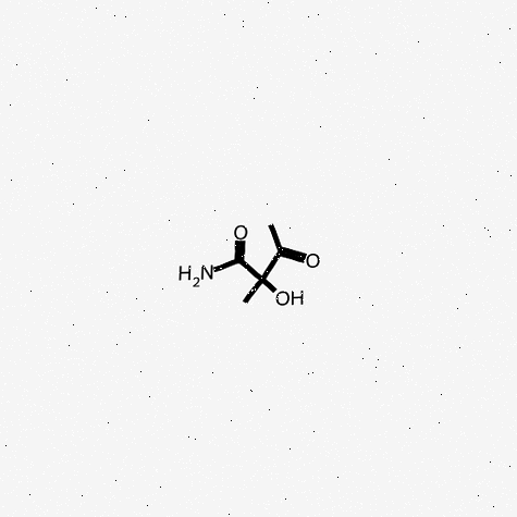 CC(=O)C(C)(O)C(N)=O